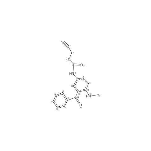 C#CCOC(=O)Nc1ccc(NC)c(C(=O)c2ccccc2)c1